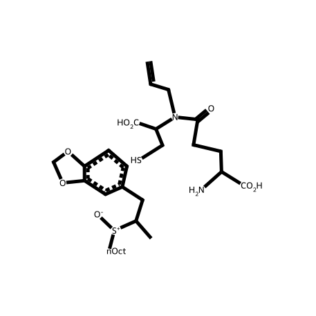 C=CCN(C(=O)CCC(N)C(=O)O)C(CS)C(=O)O.CCCCCCCC[S+]([O-])C(C)Cc1ccc2c(c1)OCO2